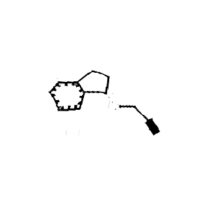 C#CCN[C@H]1CCc2ccccc21.Cl